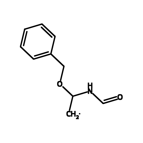 [CH2]C(NC=O)OCc1ccccc1